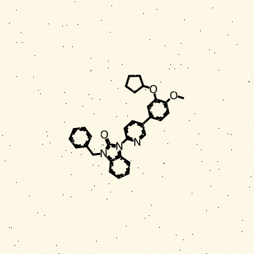 COc1ccc(-c2ccc(-n3c(=O)n(Cc4ccccc4)c4ccccc43)nc2)cc1OC1CCCC1